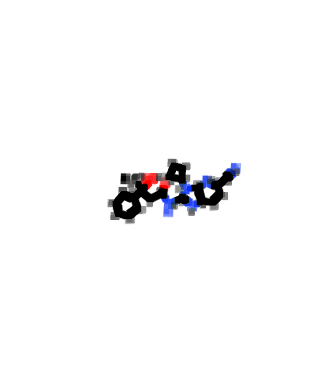 C[C@@](O)(CC(=O)Nc1nc2ccc(C#N)nc2n1C1CCC1)c1ccccc1